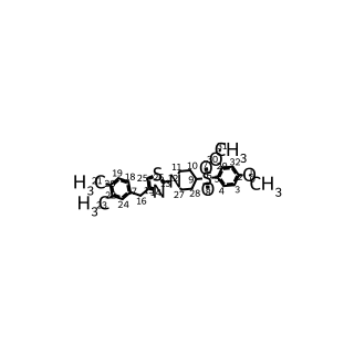 COc1ccc(S(=O)(=O)C2CCN(c3nc(Cc4ccc(C)c(C)c4)cs3)CC2)c(OC)c1